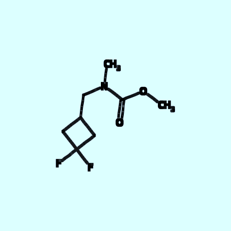 COC(=O)N(C)CC1CC(F)(F)C1